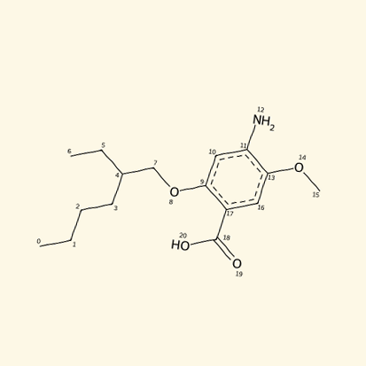 CCCCC(CC)COc1cc(N)c(OC)cc1C(=O)O